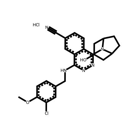 COc1ccc(CNc2nnc(N3C4CCC3CC(O)C4)c3ccc(C#N)cc23)cc1Cl.Cl